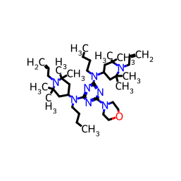 C=CCN1C(C)(C)CC(N(CCCC)c2nc(N3CCOCC3)nc(N(CCCC)C3CC(C)(C)N(CC=C)C(C)(C)C3)n2)CC1(C)C